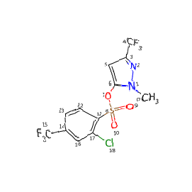 Cn1nc(C(F)(F)F)cc1OS(=O)(=O)c1ccc(C(F)(F)F)cc1Cl